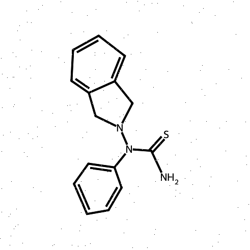 NC(=S)N(c1ccccc1)N1Cc2ccccc2C1